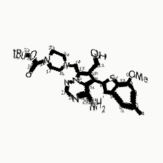 COc1cc(C)cc2cc(-c3c(CO)c(CN4CCN(C(=O)OC(C)(C)C)CC4)n4ncnc(N)c34)sc12